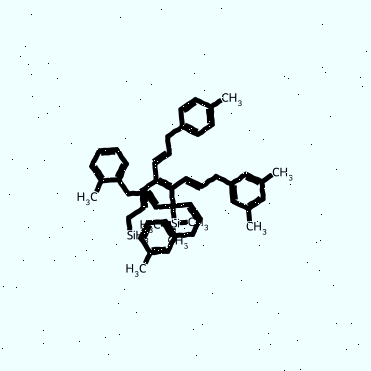 Cc1ccc(CC=CC(C=CC[SiH3])=C(C=CCc2cc(C)cc(C)c2)C(C=CCc2cccc(C)c2)(C=CCc2ccccc2C)[Si](C)(C)C)cc1